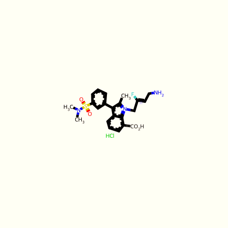 Cc1c(-c2cccc(S(=O)(=O)N(C)C)c2)c2cccc(C(=O)O)c2n1C/C(F)=C/CN.Cl